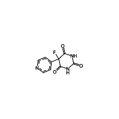 O=C1NC(=O)C(F)(c2ccncc2)C(=O)N1